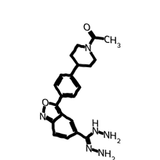 CC(=O)N1CCC(c2ccc(-c3onc4ccc(/C(=N/N)NN)cc34)cc2)CC1